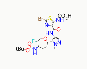 Cn1ncc(NC(=O)c2nc(Br)sc2NC(=O)O)c1[C@@H]1CC[C@@H](NC(=O)OC(C)(C)C)[C@@H](F)CO1